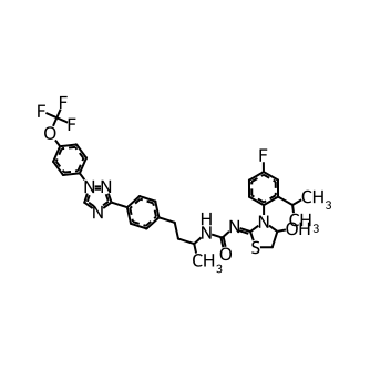 CC(CCc1ccc(-c2ncn(-c3ccc(OC(F)(F)F)cc3)n2)cc1)NC(=O)/N=C1\SCC(O)N1c1ccc(F)cc1C(C)C